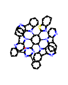 c1ccc(-c2nc(-c3ccccc3)nc(-c3c(-n4c5ccccc5c5ncccc54)c(-n4c5ccccc5c5ncccc54)c(-c4nc5ccccc5s4)c(-n4c5ccccc5c5ncccc54)c3-n3c4ccccc4c4ncccc43)n2)cc1